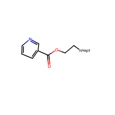 CCCCCCCCCOC(=O)c1cccnc1